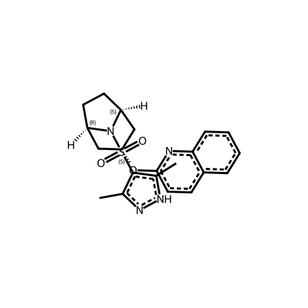 Cc1n[nH]c(C)c1S(=O)(=O)N1[C@@H]2CC[C@H]1C[C@H](Oc1ccc3ccccc3n1)C2